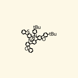 CC(C)(C)c1ccc(N2B3c4cc5sc6ccccc6c5cc4-n4c5ccc6oc7ccccc7c6c5c5ccc(c3c54)-c3cc4oc5cc(C(C)(C)C)ccc5c4cc32)cc1